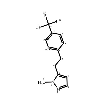 Cn1nccc1CCc1ccc(C(F)(F)F)cn1